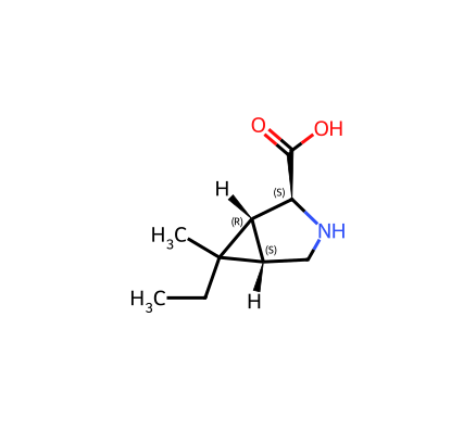 CCC1(C)[C@@H]2[C@@H](C(=O)O)NC[C@@H]21